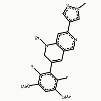 COc1cc(OC)c(F)c(C2=Cc3cnc(-c4cnn(C)c4)cc3N(C(C)C)C2)c1F